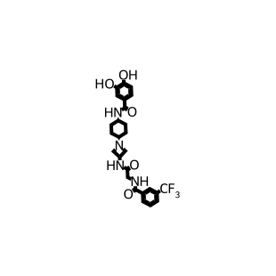 O=C(CNC(=O)c1cccc(C(F)(F)F)c1)NC1CN([C@H]2CC[C@@H](NC(=O)c3ccc(O)c(O)c3)CC2)C1